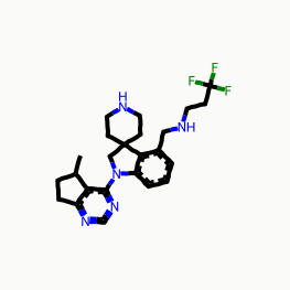 CC1CCc2ncnc(N3CC4(CCNCC4)c4c(CNCCC(F)(F)F)cccc43)c21